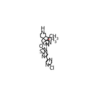 CC(C)C1CNCCC1(CCOc1nn2cc(-c3cnc(Cl)cn3)nc2s1)c1cnno1